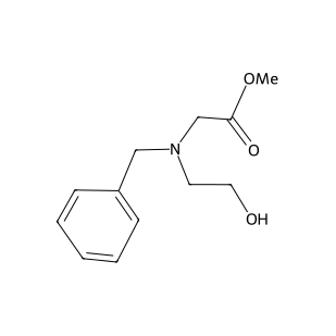 COC(=O)CN(CCO)Cc1ccccc1